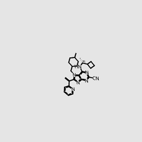 C=C(c1ccccn1)c1nc2nc(C#N)nc(N[C@H](C)C3CCC3)c2n1CC1CCC(C)CC1